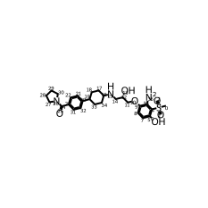 CS(=O)(=O)c1c(O)ccc(OC[C@@H](O)CNC2CCC(c3ccc(C(=O)N4CCCC4)cc3)CC2)c1N